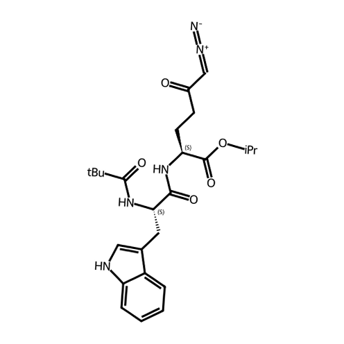 CC(C)OC(=O)[C@H](CCC(=O)C=[N+]=[N-])NC(=O)[C@H](Cc1c[nH]c2ccccc12)NC(=O)C(C)(C)C